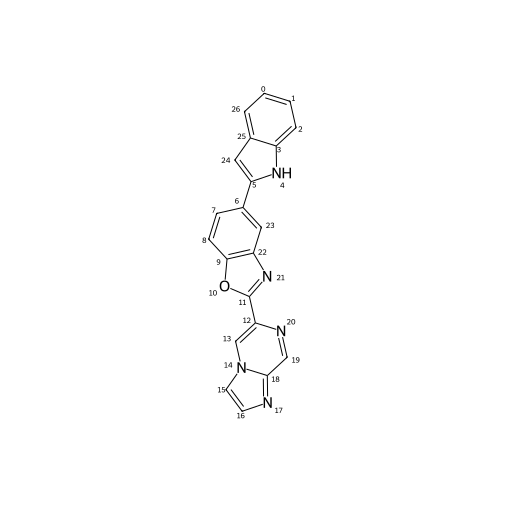 c1ccc2[nH]c(-c3ccc4oc(-c5cn6ccnc6cn5)nc4c3)cc2c1